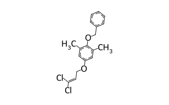 Cc1cc(OCC=C(Cl)Cl)cc(C)c1OCc1ccccc1